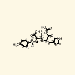 Cc1ccc(S(=O)(=O)N[C@H](C(=O)O)[C@@H](C)N[C@H](Cc2c[nH]cn2)C(=O)OC(=O)O)cc1